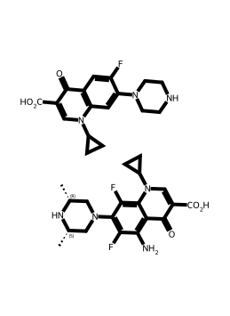 C[C@@H]1CN(c2c(F)c(N)c3c(=O)c(C(=O)O)cn(C4CC4)c3c2F)C[C@H](C)N1.O=C(O)c1cn(C2CC2)c2cc(N3CCNCC3)c(F)cc2c1=O